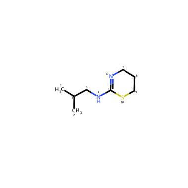 CC(C)CNC1=NCCCS1